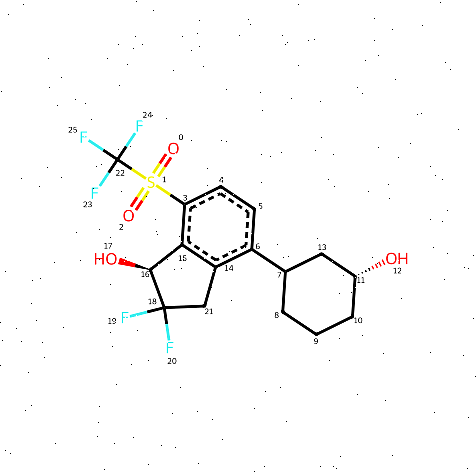 O=S(=O)(c1ccc(C2CCC[C@@H](O)C2)c2c1[C@H](O)C(F)(F)C2)C(F)(F)F